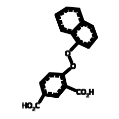 O=C(O)c1ccc(OOc2cccc3ccccc23)c(C(=O)O)c1